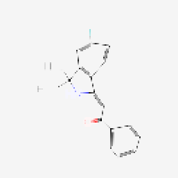 CC1(C)N/C(=C\C(=O)c2ccccc2)c2ccc(F)cc21